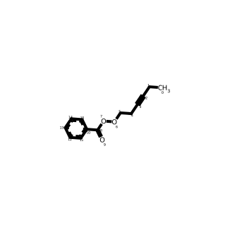 CCC#CCCOOC(=O)c1ccccc1